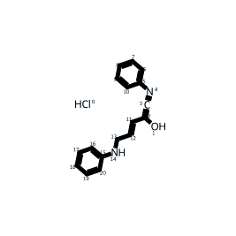 Cl.OC(=C=Nc1ccccc1)C=CCNc1ccccc1